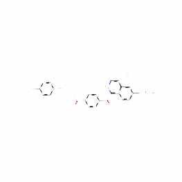 CCc1nc(C(=O)c2ccc(C(=O)NCCc3ccc(Cl)cc3)cc2)c2ccc(OC)cc2c1OC(C)=O